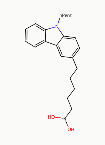 CCCCCn1c2ccccc2c2cc(CCCCCB(O)O)ccc21